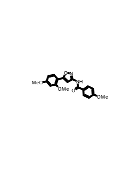 COc1ccc(C(=O)Nc2cc(-c3ccc(OC)cc3OC)on2)cc1